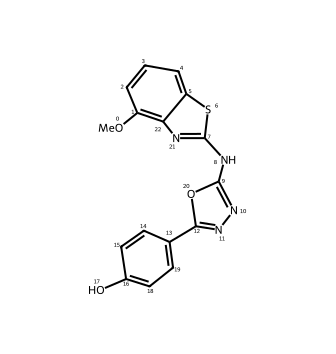 COc1cccc2sc(Nc3nnc(-c4ccc(O)cc4)o3)nc12